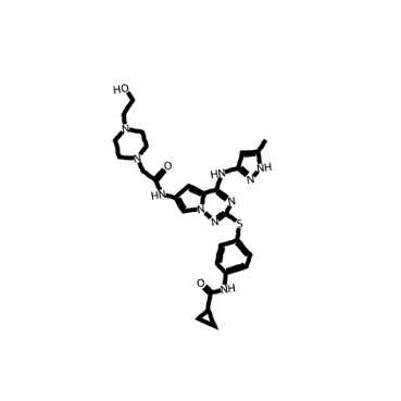 Cc1cc(Nc2nc(Sc3ccc(NC(=O)C4CC4)cc3)nn3cc(NC(=O)CN4CCN(CCO)CC4)cc23)n[nH]1